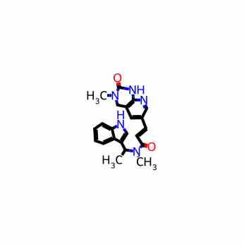 CC(c1c[nH]c2ccccc12)N(C)C(=O)C=Cc1cnc2c(c1)CN(C)C(=O)N2